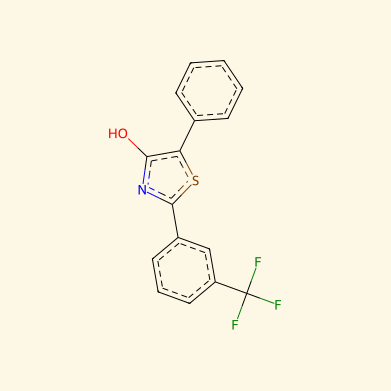 Oc1nc(-c2cccc(C(F)(F)F)c2)sc1-c1ccccc1